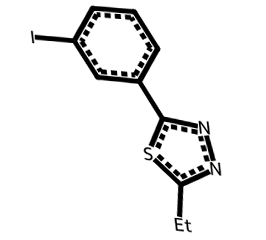 CCc1nnc(-c2cccc(I)c2)s1